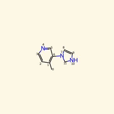 Cc1ccncc1N1C=CNC1